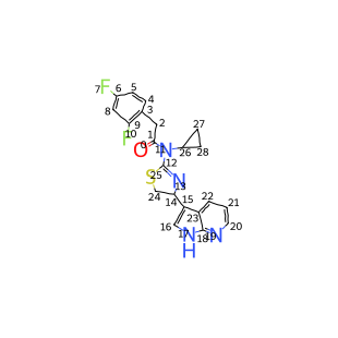 O=C(Cc1ccc(F)cc1F)N(C1=NC(c2c[nH]c3ncccc23)CS1)C1CC1